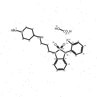 CCCCN1CCC(NCCCN2c3ccccc3N(c3ccccc3F)S2(=O)=O)CC1.O=C(O)O